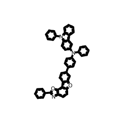 c1ccc(-c2nc3ccc4oc5cc(-c6ccc(N(c7ccccc7)c7ccc8c(c7)c7ccccc7n8-c7ccccc7)cc6)ccc5c4c3o2)cc1